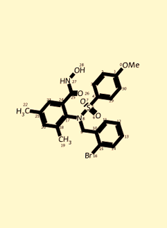 COc1ccc(S(=O)(=O)N(Cc2ccccc2Br)c2c(C)cc(C)cc2C(=O)NO)cc1